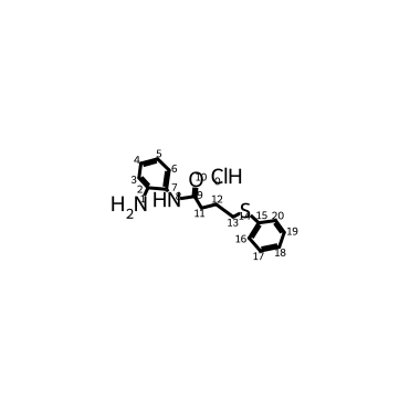 Cl.Nc1ccccc1NC(=O)CCCSc1ccccc1